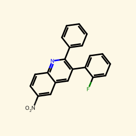 O=[N+]([O-])c1ccc2nc(-c3ccccc3)c(-c3ccccc3F)cc2c1